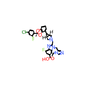 CCn1cncc1Cn1c(CN2C[C@@H]3C(c4cccc5c4O[C@](C)(c4ccc(Cl)cc4F)O5)[C@@H]3C2)nc2c(F)cc(C(=O)O)cc21